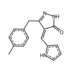 Cc1ccc(CC2=NNC(=O)C2=Cc2ccc[nH]2)cc1